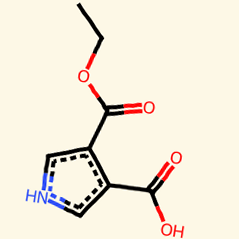 CCOC(=O)c1c[nH]cc1C(=O)O